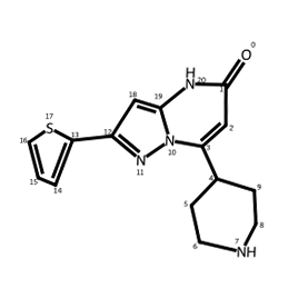 O=c1cc(C2CCNCC2)n2nc(-c3cccs3)cc2[nH]1